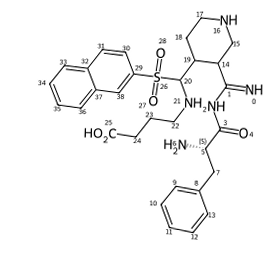 N=C(NC(=O)[C@@H](N)Cc1ccccc1)C1CNCCC1C(NCCCC(=O)O)S(=O)(=O)c1ccc2ccccc2c1